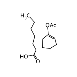 CC(=O)OC1=CCCCC1.CCCCCCC(=O)O